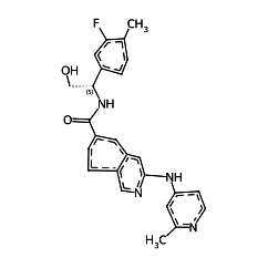 Cc1cc(Nc2cc3cc(C(=O)N[C@H](CO)c4ccc(C)c(F)c4)ccc3cn2)ccn1